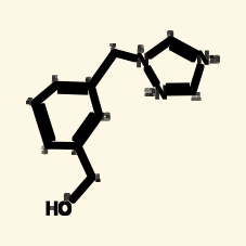 OCc1cccc(Cn2cncn2)c1